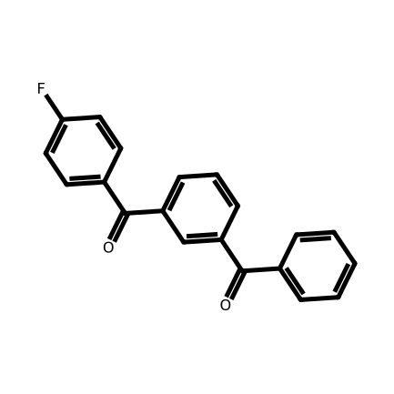 O=C(c1ccccc1)c1cccc(C(=O)c2ccc(F)cc2)c1